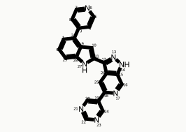 c1cc(-c2ccncc2)c2cc(-c3n[nH]c4cnc(-c5cncnc5)cc34)[nH]c2c1